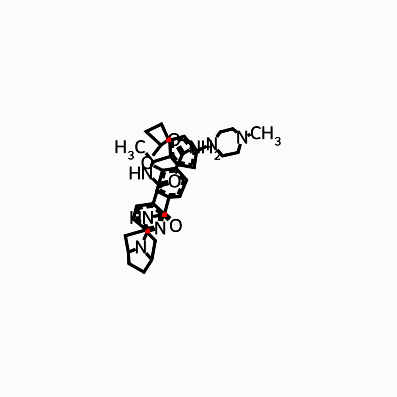 C[C@H](NC(=O)c1ccc(N2C3CCC2CC(NC(=O)c2ccc(C(N)=O)c(OC4CCC4)c2)C3)nc1)c1ccc(N2CCN(C)CC2)cc1